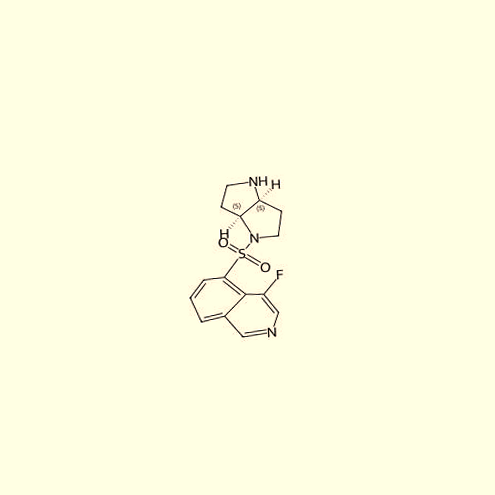 O=S(=O)(c1cccc2cncc(F)c12)N1CC[C@@H]2NCC[C@@H]21